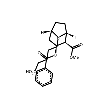 COC(=O)[C@H]1[C@@H](OC(=O)c2ccccc2)C[C@@H]2CC[C@H]1N2CCCCC(=O)O